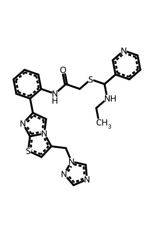 CCNC(SCC(=O)Nc1ccccc1-c1cn2c(Cn3cncn3)csc2n1)c1cccnc1